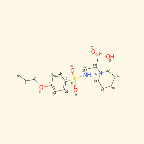 CCCOc1ccc(S(=O)(=O)NCC(C(=O)O)N2CCCCC2)cc1